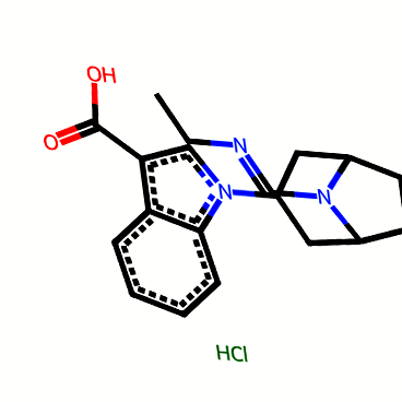 CCN=CN1C2CCC1CC(n1cc(C(=O)O)c3ccccc31)C2.Cl